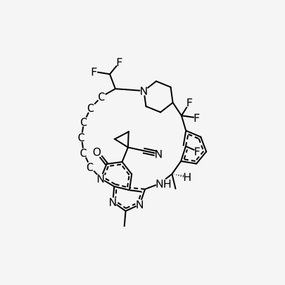 Cc1nc2c3cc(C4(C#N)CC4)c(=O)n(c3n1)CCCCCCC(C(F)F)N1CCC(CC1)C(F)(F)c1cccc(c1F)[C@@H](C)N2